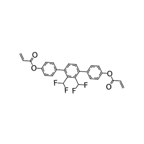 C=CC(=O)Oc1ccc(-c2ccc(-c3ccc(OC(=O)C=C)cc3)c(C(F)F)c2C(F)F)cc1